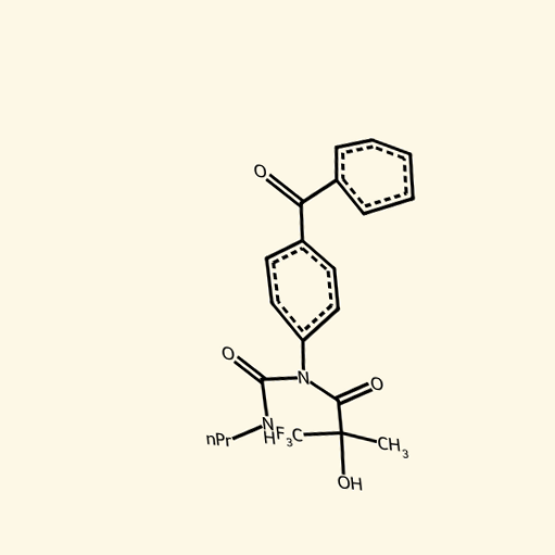 CCCNC(=O)N(C(=O)C(C)(O)C(F)(F)F)c1ccc(C(=O)c2ccccc2)cc1